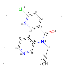 C#CCN(C(=O)c1ccc(Cl)nc1)c1cccnc1